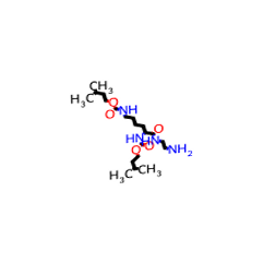 CC(C)CCOC(=O)NCCCCC(NC(=O)OCCC(C)C)C(=O)NCCN